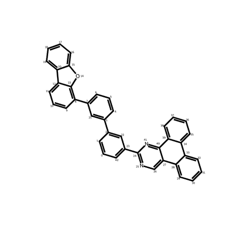 c1cc(-c2cccc(-c3cccc4c3oc3ccccc34)c2)cc(-c2ncc3c4ccccc4c4ccccc4c3n2)c1